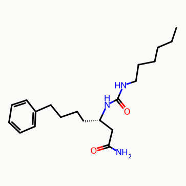 CCCCCCNC(=O)N[C@@H](CCCCc1ccccc1)CC(N)=O